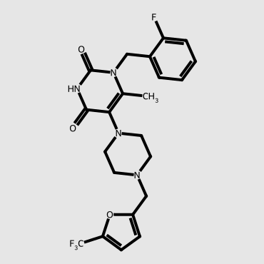 Cc1c(N2CCN(Cc3ccc(C(F)(F)F)o3)CC2)c(=O)[nH]c(=O)n1Cc1ccccc1F